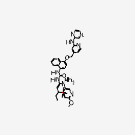 CCC(/C=C(/NC(=O)Nc1ccc(OCc2ccnc(Nc3cnccn3)c2)c2ccccc12)N(N)c1ccc(OC)nc1)C(C)(C)C